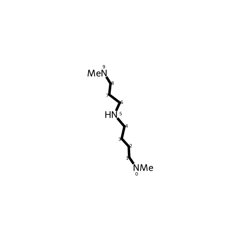 CNCCCCNCCCNC